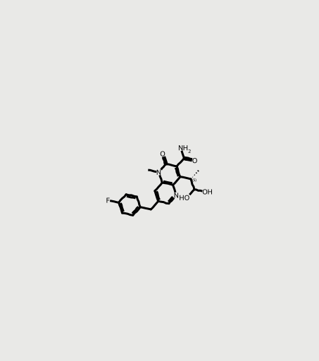 C[C@@H](c1c(C(N)=O)c(=O)n(C)c2cc(Cc3ccc(F)cc3)cnc12)C(O)O